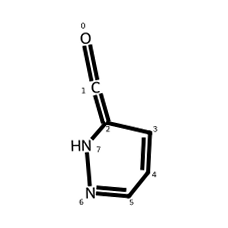 O=C=C1C=CC=NN1